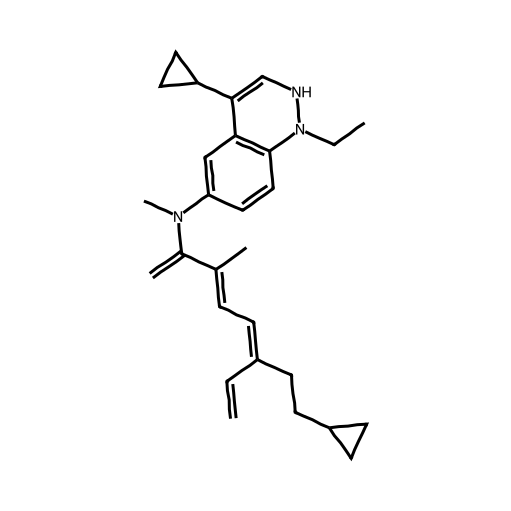 C=C/C(=C\C=C(/C)C(=C)N(C)c1ccc2c(c1)C(C1CC1)=CNN2CC)CCC1CC1